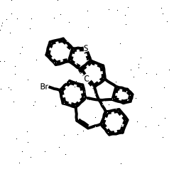 Brc1ccc2c(c1)C=Cc1ccccc1C21c2ccccc2-c2cc3sc4ccccc4c3cc21